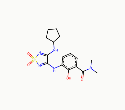 CN(C)C(=O)c1cccc(NC2=NS(=O)(=O)N=C2NC2CCCC2)c1O